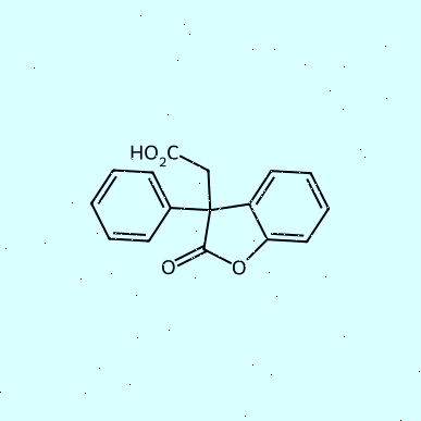 O=C(O)CC1(c2ccccc2)C(=O)Oc2ccccc21